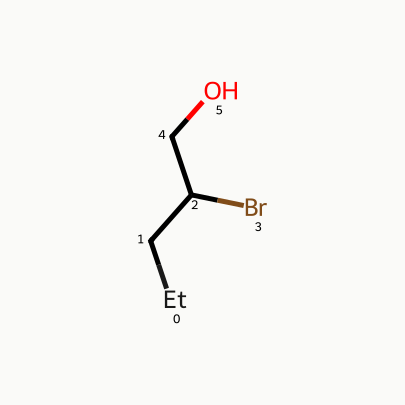 CCCC(Br)CO